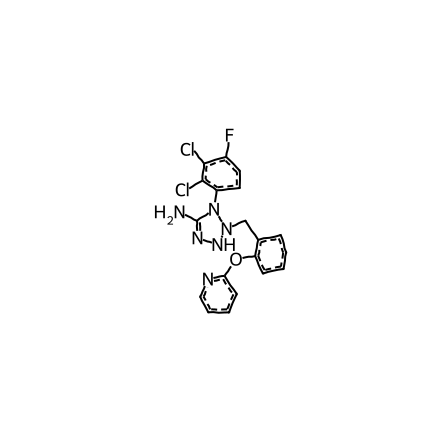 NC1=NNN(Cc2ccccc2Oc2ccccn2)N1c1ccc(F)c(Cl)c1Cl